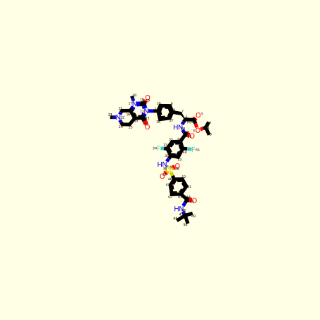 CC(C)OC(=O)[C@H](Cc1ccc(-n2c(=O)c3c(n(C)c2=O)CN(C)CC3)cc1)NC(=O)c1cc(F)c(NS(=O)(=O)c2ccc(C(=O)NC(C)(C)C)cc2)cc1F